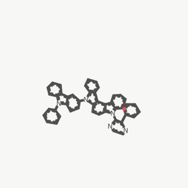 c1ccc(-c2nccnc2-n2c3ccccc3c3c4c5ccccc5n(-c5ccc6c(c5)c5ccccc5n6-c5ccccc5)c4ccc32)cc1